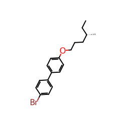 CC[C@H](C)CCCOc1ccc(-c2ccc(Br)cc2)cc1